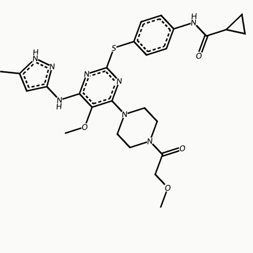 COCC(=O)N1CCN(c2nc(Sc3ccc(NC(=O)C4CC4)cc3)nc(Nc3cc(C)[nH]n3)c2OC)CC1